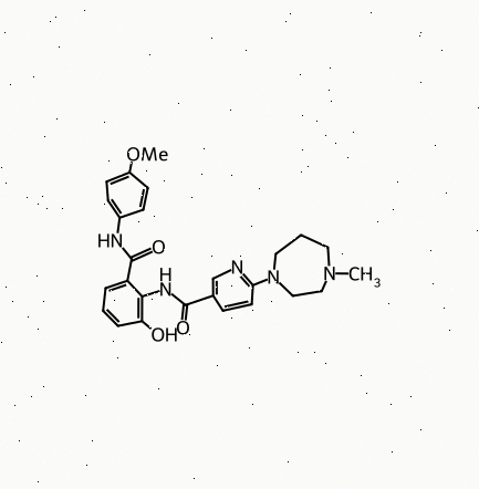 COc1ccc(NC(=O)c2cccc(O)c2NC(=O)c2ccc(N3CCCN(C)CC3)nc2)cc1